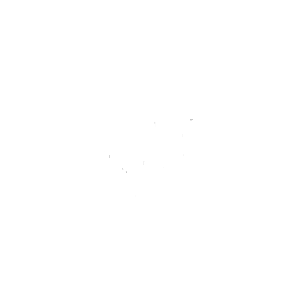 CCC(=O)c1ccc2c(c1)sc(=O)n2C